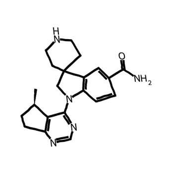 C[C@@H]1CCc2ncnc(N3CC4(CCNCC4)c4cc(C(N)=O)ccc43)c21